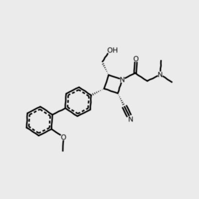 COc1ccccc1-c1ccc([C@H]2[C@@H](C#N)N(C(=O)CN(C)C)[C@H]2CO)cc1